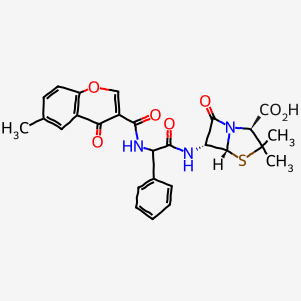 Cc1ccc2occ(C(=O)NC(C(=O)N[C@@H]3C(=O)N4[C@@H]3SC(C)(C)[C@@H]4C(=O)O)c3ccccc3)c(=O)c2c1